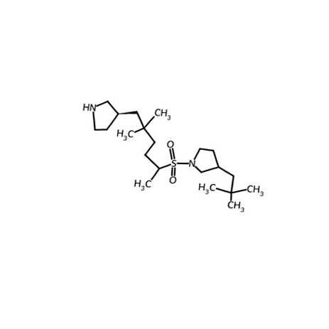 CC(CCC(C)(C)C[C@H]1CCNC1)S(=O)(=O)N1CCC(CC(C)(C)C)C1